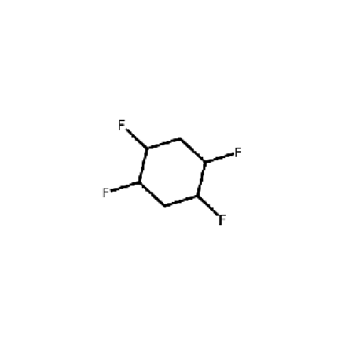 FC1CC(F)C(F)CC1F